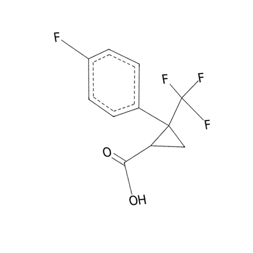 O=C(O)C1CC1(c1ccc(F)cc1)C(F)(F)F